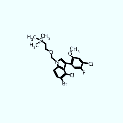 COc1cc(Cl)c(F)cc1-c1cn(COCC[Si](C)(C)C)c2ccc(Br)c(Cl)c12